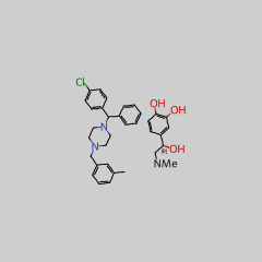 CNC[C@H](O)c1ccc(O)c(O)c1.Cc1cccc(CN2CCN(C(c3ccccc3)c3ccc(Cl)cc3)CC2)c1